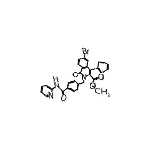 COC(=O)c1c(-c2ccccc2)c2cc(Br)ccc2c(=O)n1Cc1ccc(C(=O)Nc2ccccn2)cc1